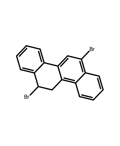 Brc1cc2c(c3ccccc13)CC(Br)c1ccccc1-2